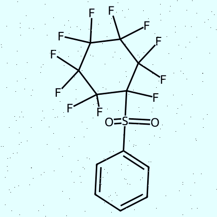 O=S(=O)(c1ccccc1)C1(F)C(F)(F)C(F)(F)C(F)(F)C(F)(F)C1(F)F